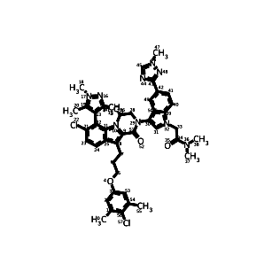 Cc1cc(OCCCc2c3n(c4c(-c5c(C)nn(C)c5C)c(Cl)ccc24)C(C)CN(c2cn(CC(=O)N(C)C)c4ccc(-c5ncn(C)n5)cc24)C3=O)cc(C)c1Cl